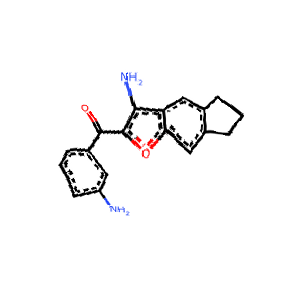 Nc1cccc(C(=O)c2oc3cc4c(cc3c2N)CCC4)c1